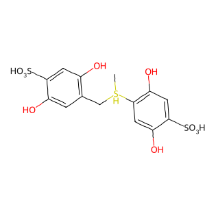 C[SH](Cc1cc(O)c(S(=O)(=O)O)cc1O)c1cc(O)c(S(=O)(=O)O)cc1O